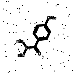 CCCCN(CCCC)C(=O)c1ccc(OC)cc1